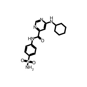 NS(=O)(=O)c1ccc(NC(=O)c2cc(NC3CCCCC3)ncn2)cc1